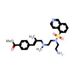 COC(=O)c1ccc(C=C(C)CN(C)CCN(CCN)S(=O)(=O)c2cccc3cnccc23)cc1